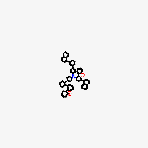 c1cc(-c2ccc(N(c3ccc(-c4ccccc4-c4cccc5oc6ccccc6c45)cc3)c3ccc(-c4cccc5ccccc45)c4oc5ccccc5c34)cc2)cc(-c2cccc3ccccc23)c1